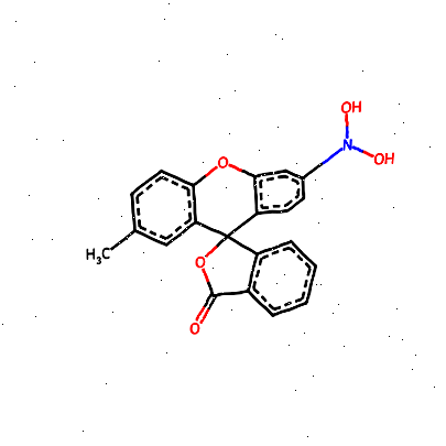 Cc1ccc2c(c1)C1(OC(=O)c3ccccc31)c1ccc(N(O)O)cc1O2